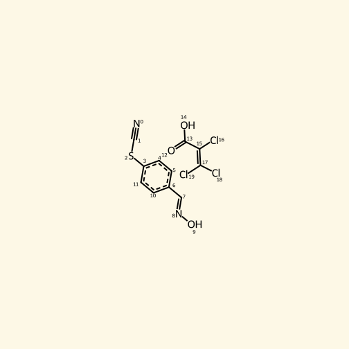 N#CSc1ccc(C=NO)cc1.O=C(O)C(Cl)=C(Cl)Cl